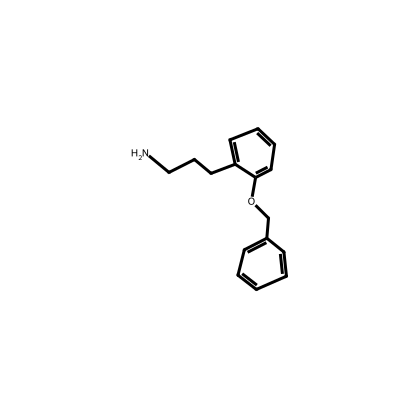 NCCCc1ccccc1OCc1ccccc1